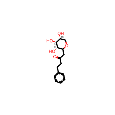 O=C(CCc1ccccc1)CC1OC[C@@H](O)[C@H](O)[C@H]1O